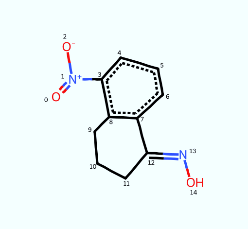 O=[N+]([O-])c1cccc2c1CCCC2=NO